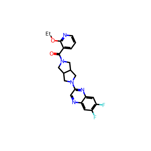 CCOc1ncccc1C(=O)N1CC2CN(c3cnc4cc(F)c(F)cc4n3)CC2C1